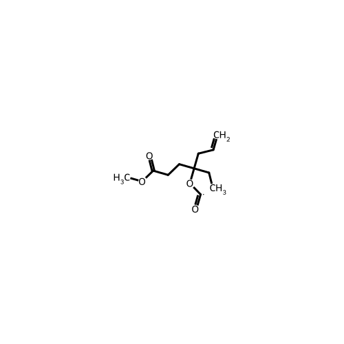 C=CCC(CC)(CCC(=O)OC)O[C]=O